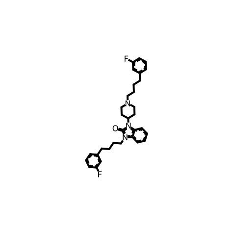 O=c1n(CCCCc2cccc(F)c2)c2ccccc2n1C1CCN(CCCCc2cccc(F)c2)CC1